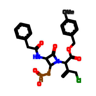 C=C(CCl)C(C(=O)OCc1ccc(OC)cc1)N1C(=O)C(NC(=O)Cc2ccccc2)C1S[SH](=O)=O